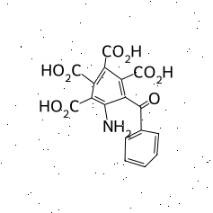 Nc1c(C(=O)O)c(C(=O)O)c(C(=O)O)c(C(=O)O)c1C(=O)c1ccccc1